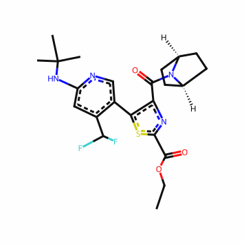 CCOC(=O)c1nc(C(=O)N2[C@H]3CC[C@@H]2CC3)c(-c2cnc(NC(C)(C)C)cc2C(F)F)s1